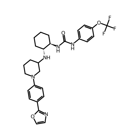 O=C(Nc1ccc(OC(F)(F)F)cc1)N[C@@H]1CCCC[C@H]1NC1CCCN(c2ccc(-c3ncco3)cc2)C1